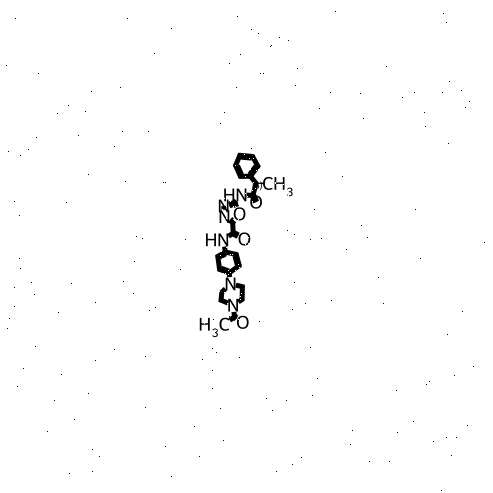 CC(=O)N1CCN(c2ccc(NC(=O)c3nnc(NC(=O)[C@@H](C)c4ccccc4)o3)cc2)CC1